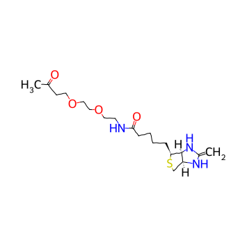 C=C1N[C@H]2[C@H](CS[C@H]2CCCCC(=O)NCCOCCOCCC(C)=O)N1